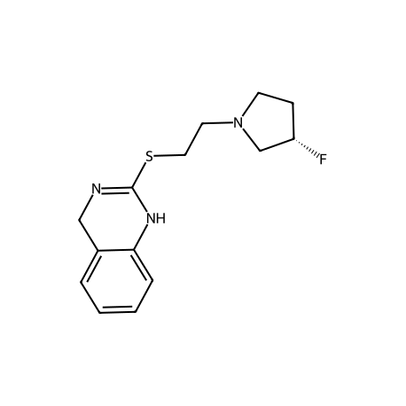 F[C@H]1CCN(CCSC2=NCc3ccccc3N2)C1